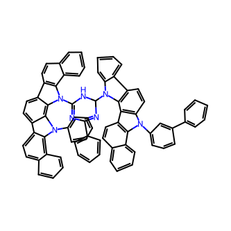 c1ccc(C2=NC(n3c4ccccc4c4ccc5c(c6ccc7ccccc7c6n5-c5cccc(-c6ccccc6)c5)c43)NC(n3c4c5ccccc5ccc4c4ccc5c6ccc7ccccc7c6n(-c6ccccc6)c5c43)=N2)cc1